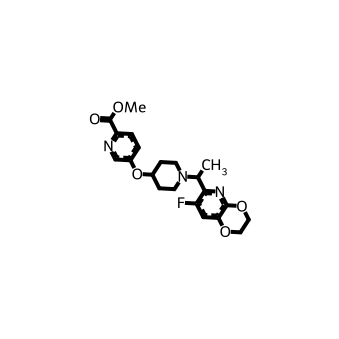 COC(=O)c1ccc(OC2CCN(C(C)c3nc4c(cc3F)OCCO4)CC2)cn1